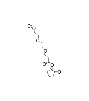 CCOCCOCCOCCC(=O)ON1CCCC1=O